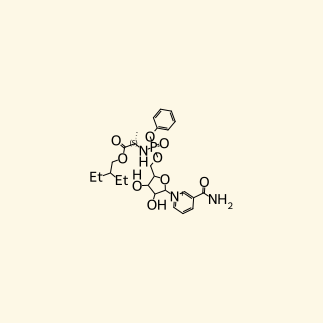 CCC(CC)COC(=O)[C@H](C)NP(=O)(OCC1OC([n+]2cccc(C(N)=O)c2)C(O)C1O)Oc1ccccc1